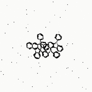 c1ccc(N(c2ccccc2)c2cc3ccccc3c3c2C2(c4ccccc4-c4c(N(c5ccccc5)c5cccc6c5c5ccccc5n6-c5ccccc5)cccc42)c2ccccc2-3)cc1